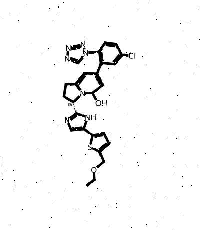 CCOCc1ccc(-c2cnc([C@@H]3CCC4=CC(c5cc(Cl)ccc5-n5cnnn5)=CC(O)N43)[nH]2)s1